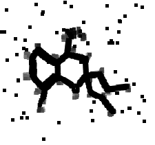 CCCC1(CCC)CC(N)c2cccc(F)c2O1